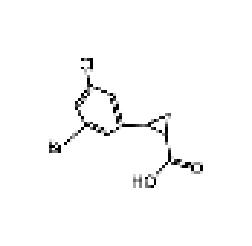 O=C(O)C1CC1c1cc(Cl)cc(Br)c1